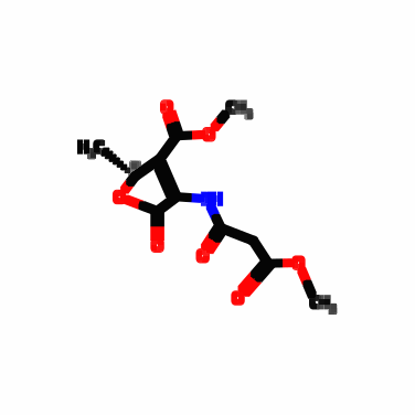 COC(=O)CC(=O)NC1=C(C(=O)OC)[C@@H](C)OC1=O